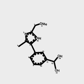 COCc1nc(C)c(-c2cccc(C(O)O)c2)[nH]1